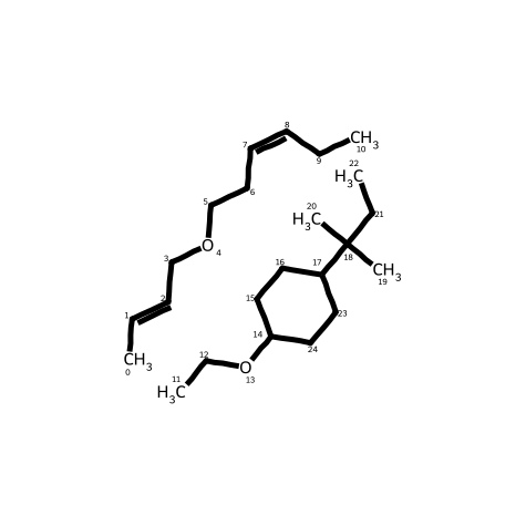 C/C=C/COCC/C=C\CC.CCOC1CCC(C(C)(C)CC)CC1